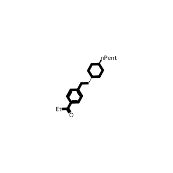 CCCCC[C@H]1CC[C@H](CCc2ccc(C(=O)CC)cc2)CC1